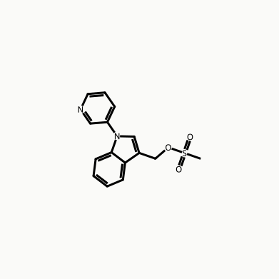 CS(=O)(=O)OCc1cn(-c2cccnc2)c2ccccc12